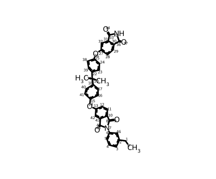 CCc1cccc(N2C(=O)c3ccc(Oc4ccc(C(C)(C)c5ccc(Oc6ccc7c(c6)C(=O)NC7=O)cc5)cc4)cc3C2=O)c1